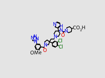 COc1ccc(-n2cnnn2)cc1C(=O)N1CCC(CCN2CCC(NC(=O)N3CCC(C(=O)O)CC3)(c3cccnc3)CC2)(c2ccc(Cl)c(Cl)c2)C1